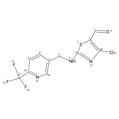 O=Cc1sc(NCc2ccc(C(F)(F)F)nc2)nc1Cl